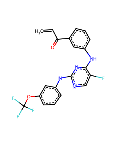 C=CC(=O)c1cccc(Nc2nc(Nc3cccc(OC(F)(F)F)c3)ncc2F)c1